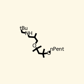 CCCCCOC(C)(C)CC(C)(C)OCC(C)CNCC(C)(C)C